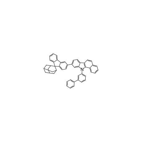 c1ccc(-c2cccc(-n3c4cc(-c5ccc6c(c5)-c5ccccc5C65C6CC7CC(C6)CC5C7)ccc4c4ccc5ccccc5c43)c2)cc1